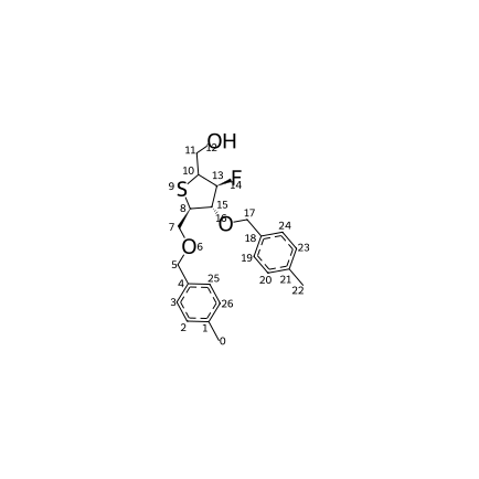 Cc1ccc(COC[C@H]2SC(CO)[C@@H](F)[C@@H]2OCc2ccc(C)cc2)cc1